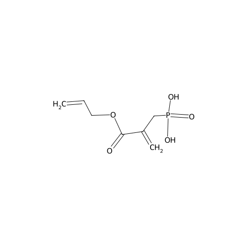 C=CCOC(=O)C(=C)CP(=O)(O)O